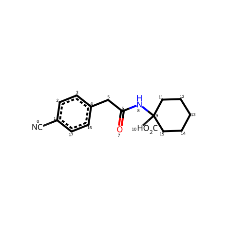 N#Cc1ccc(CC(=O)NC2(C(=O)O)CCCCC2)cc1